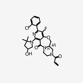 C=CC(=O)N1CCN2C(=O)c3c(N4CC(O)CC4(C)C)nc(-c4ccccc4Cl)c(F)c3OC[C@H]2C1